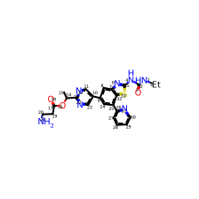 CCNC(=O)Nc1nc2cc(-c3cnc(C(C)OC(=O)CCN)nc3)cc(-c3ccccn3)c2s1